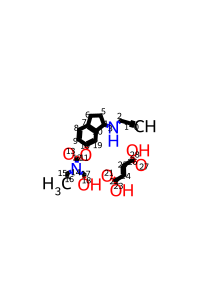 C#CCNC1CCc2ccc(OC(=O)N(CC)CO)cc21.O=C(O)C=CC(=O)O